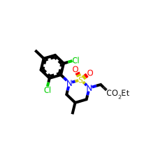 CCOC(=O)CN1CC(C)CN(c2c(Cl)cc(C)cc2Cl)S1(=O)=O